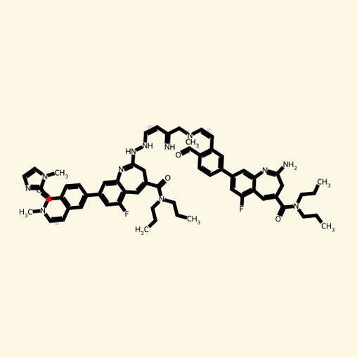 CCCN(CCC)C(=O)C1=Cc2c(F)cc(-c3ccc(C=O)c(/C=C\N(C)CC(=N)/C=C\NNC4=Nc5cc(-c6ccc(C=O)c(/C=C\N(C)Cc7nccn7C)c6)cc(F)c5C=C(C(=O)N(CCC)CCC)C4)c3)cc2N=C(N)C1